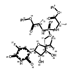 CC(C)OC(=O)[C@H](C)NP(=O)(N[C@@H](C)C(=O)OC(C)C)OC[C@@]1(C(F)F)O[C@@H](n2cc(F)c(=O)[nH]c2=O)[C@@H](O)[C@@H]1O